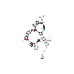 CN[C@H](CC(C)C)C(=O)NC1C(=O)N[C@@H](CC(N)=O)C(=O)N[C@H]2C(=O)N[C@@H](C)c3ccc(O)c(c3)-c3c(O)cc(O)cc3[C@H](C(=O)O)NC(=O)[C@@H](NC=O)[C@H](OC3C[C@](C)(N)[C@@H](O)[C@H](C)O3)c3ccc(c(Cl)c3)Oc3cc2cc(c3O[C@@H]2O[C@H](CO)[C@@H](O[C@@H]3O[C@H](CNCCSCc4ccco4)[C@H](O)[C@H](O)[C@H]3O)[C@H](O)[C@H]2O)Oc2ccc(cc2Cl)[C@H]1O